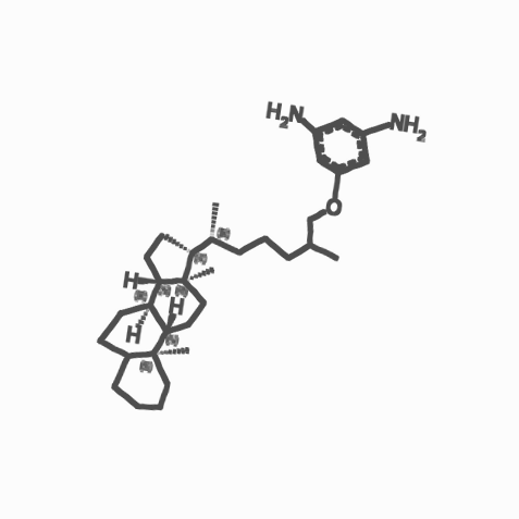 CC(CCC[C@@H](C)[C@H]1CC[C@H]2[C@@H]3CCC4CCCC[C@]4(C)[C@H]3CC[C@]12C)COc1cc(N)cc(N)c1